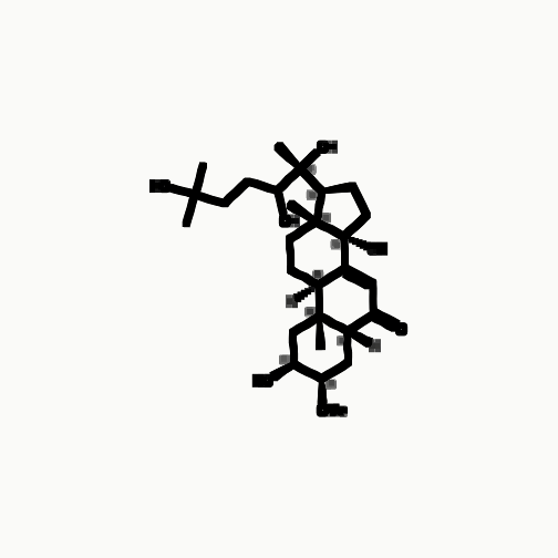 CO[C@@H]1C[C@H]2C(=O)C=C3[C@H](CC[C@]4(C)[C@@H]([C@@](C)(O)C(O)CCC(C)(C)O)CC[C@@]34O)[C@@]2(C)C[C@@H]1O